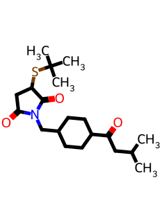 CC(C)CC(=O)C1CCC(CN2C(=O)CC(SC(C)(C)C)C2=O)CC1